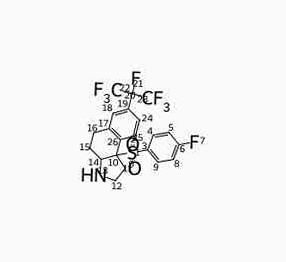 O=S(=O)(c1ccc(F)cc1)C12CCNC1CCc1cc(C(F)(C(F)(F)F)C(F)(F)F)ccc12